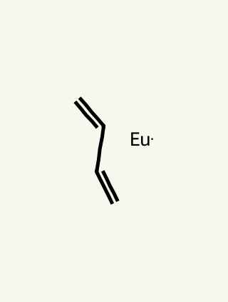 C=CC=C.[Eu]